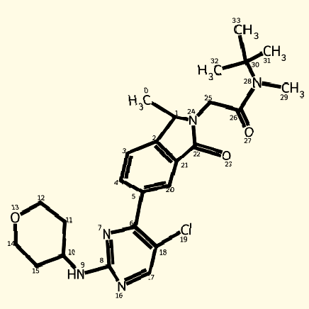 CC1c2ccc(-c3nc(NC4CCOCC4)ncc3Cl)cc2C(=O)N1CC(=O)N(C)C(C)(C)C